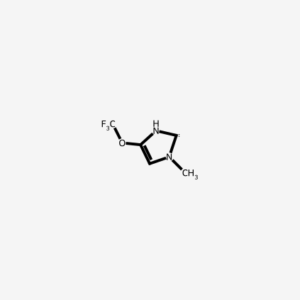 CN1[C]NC(OC(F)(F)F)=C1